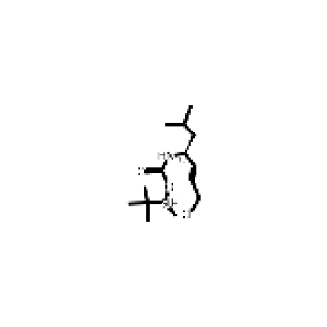 CC(C)C[C@@H](C=CCCl)NC(=O)O[SiH](C)C(C)(C)C